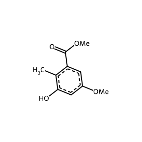 COC(=O)c1cc(OC)cc(O)c1C